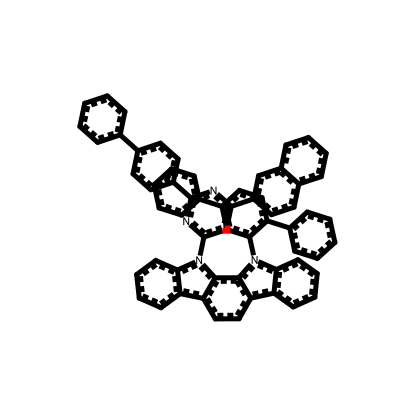 c1ccc(-c2ccc(-c3nc(-c4ccc5ccccc5c4)nc(-n4c5ccccc5c5ccc6c7ccccc7n(-c7cc(-c8ccccc8)ccc7-c7ccccc7)c6c54)n3)cc2)cc1